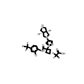 O=C(Nc1ccc(C(F)(F)F)cc1Cl)C1(n2cc(N3C[C@H]4CNC[C@H]4C3)cn2)CCC1.O=C(O)C(F)(F)F